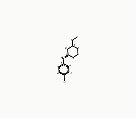 CCC1CCC/C(=N\c2ccc(C)cc2)C1